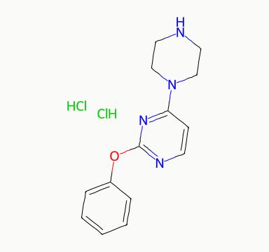 Cl.Cl.c1ccc(Oc2nccc(N3CCNCC3)n2)cc1